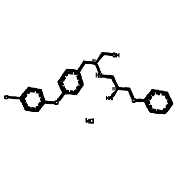 Cl.OC[C@H](Cc1ccc(Oc2ccc(Cl)cc2)cc1)NC[C@H](O)COc1ccccc1